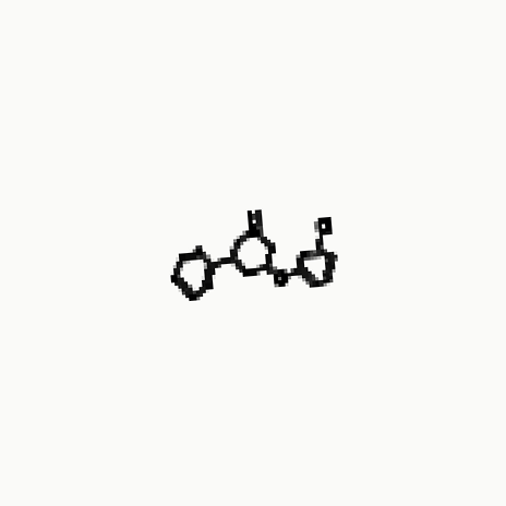 Clc1cccc(OC2CNCC(c3[c]cccc3)C2)c1